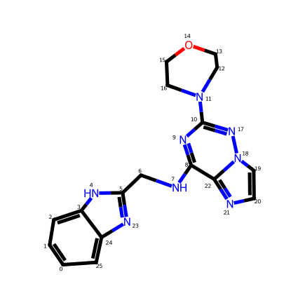 c1ccc2[nH]c(CNc3nc(N4CCOCC4)nn4ccnc34)nc2c1